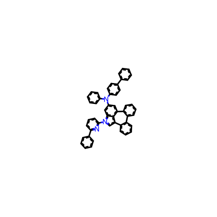 c1ccc(-c2ccc(N(c3ccccc3)c3cc4c5c(cn(-c6cccc(-c7ccccc7)n6)c5c3)-c3ccccc3-c3ccccc3-4)cc2)cc1